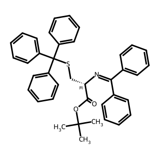 CC(C)(C)OC(=O)[C@H](CSC(c1ccccc1)(c1ccccc1)c1ccccc1)N=C(c1ccccc1)c1ccccc1